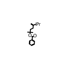 C=C(CCC(C)(C)OC(=O)c1ccccc1)C(C)C